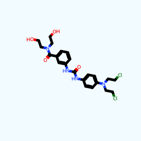 O=C(Nc1ccc(N(CCCl)CCCl)cc1)Nc1cccc(C(=O)N(CCO)CCO)c1